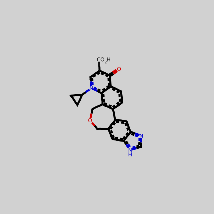 O=C(O)c1cn(C2CC2)c2c3c(ccc2c1=O)-c1cc2nc[nH]c2cc1COC3